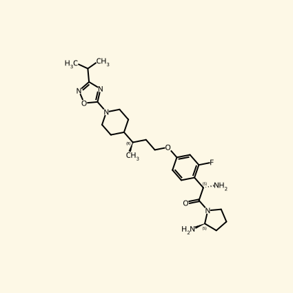 CC(C)c1noc(N2CCC([C@H](C)CCOc3ccc([C@H](N)C(=O)N4CCC[C@H]4N)c(F)c3)CC2)n1